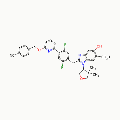 CC1(C)COCC1n1c(Cc2cc(F)c(-c3cccc(OCc4ccc(C#N)cc4)n3)cc2F)nc2cc(O)c(C(=O)O)cc21